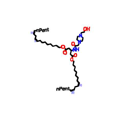 CCCCC/C=C\C/C=C\CCCCCCCCOC(=O)CC(CC(=O)OCCCCCCCC/C=C\C/C=C\CCCCC)NC(=O)CN1CCN(CCO)CC1